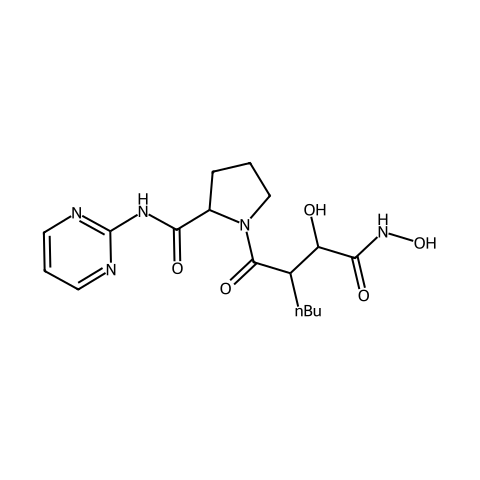 CCCCC(C(=O)N1CCCC1C(=O)Nc1ncccn1)C(O)C(=O)NO